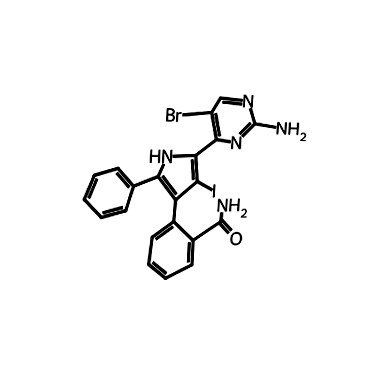 NC(=O)c1ccccc1-c1c(-c2ccccc2)[nH]c(-c2nc(N)ncc2Br)c1I